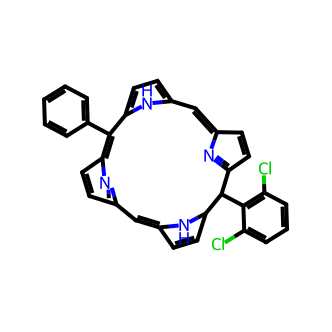 Clc1cccc(Cl)c1C1C2=N/C(=C\c3ccc([nH]3)/C(c3ccccc3)=C3/C=CC(=N3)/C=C3/C=CC1N3)C=C2